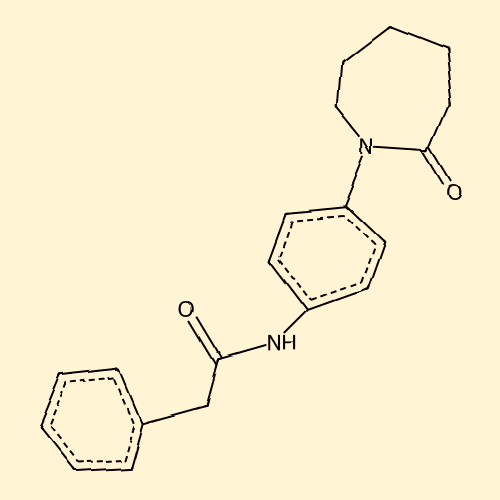 O=C(Cc1ccccc1)Nc1ccc(N2CCCCCC2=O)cc1